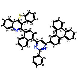 c1ccc(-c2nc(-c3ccc4c5ccccc5c5ccccc5c4c3)cc(-c3ccc(-c4nc5ccccc5c5sc6ccccc6c45)c4ccccc34)n2)cc1